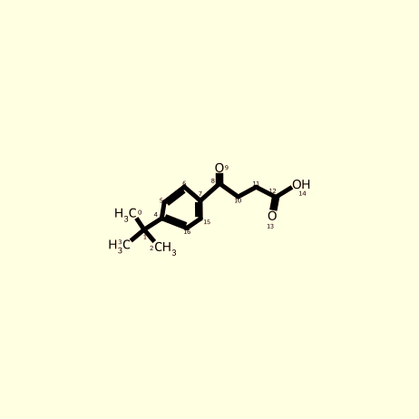 CC(C)(C)c1ccc(C(=O)CCC(=O)O)cc1